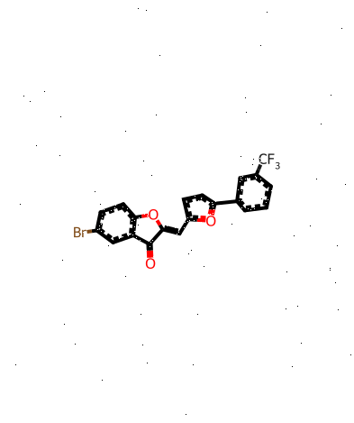 O=C1C(=Cc2ccc(-c3cccc(C(F)(F)F)c3)o2)Oc2ccc(Br)cc21